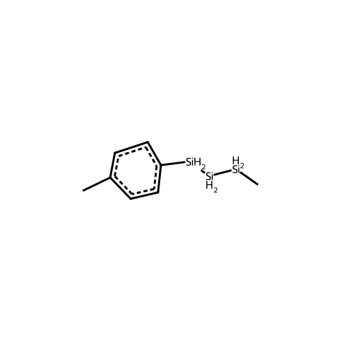 C[SiH2][SiH2][SiH2]c1ccc(C)cc1